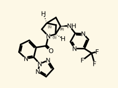 O=C(c1cccnc1-n1nccn1)N1C[C@H]2C[C@@H](Nc3cnc(C(F)(F)F)cn3)[C@@H]1C2